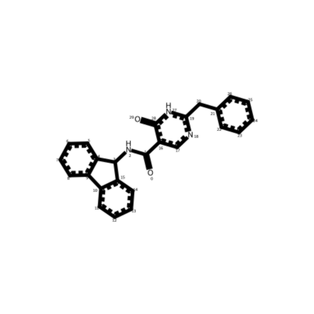 O=C(NC1c2ccccc2-c2ccccc21)c1cnc(Cc2ccccc2)[nH]c1=O